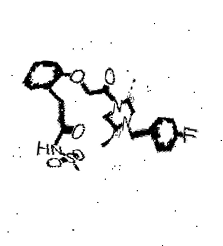 C[C@@H]1CN(Cc2ccc(F)cc2)[C@@H](C)CN1C(=O)COc1ccccc1CCC(=O)NS(C)(=O)=O